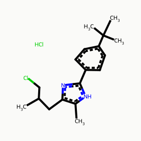 Cc1[nH]c(-c2ccc(C(C)(C)C)cc2)nc1CC(C)CCl.Cl